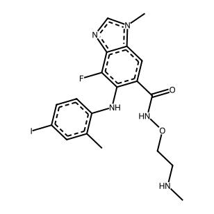 CNCCONC(=O)c1cc2c(ncn2C)c(F)c1Nc1ccc(I)cc1C